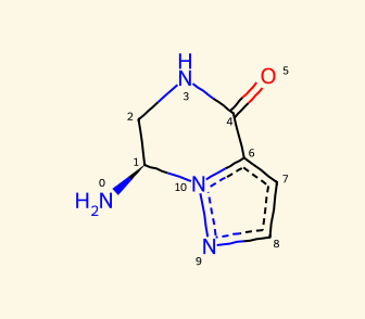 N[C@H]1CNC(=O)c2ccnn21